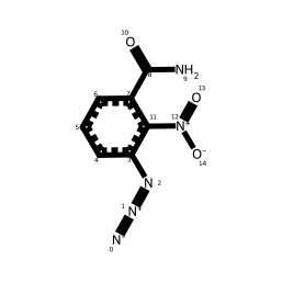 [N-]=[N+]=Nc1cccc(C(N)=O)c1[N+](=O)[O-]